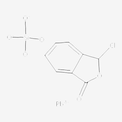 O=C1OC(Cl)c2ccccc21.[O-][Si]([O-])([O-])[O-].[Pb+4]